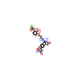 COC(=O)c1c(OCCCCNCC2(Cc3ccc(C4CC(=O)NS4(=O)=O)cc3)CCC(=O)N2)cccc1OC(=O)C(F)(F)F